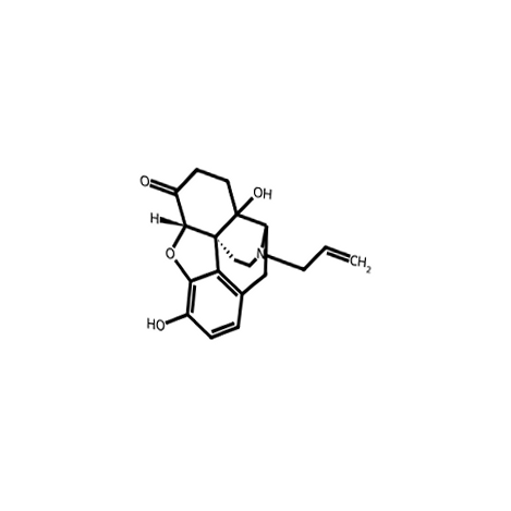 C=CCN1CC[C@]23c4c5ccc(O)c4O[C@@H]2C(=O)CCC3(O)C1C5